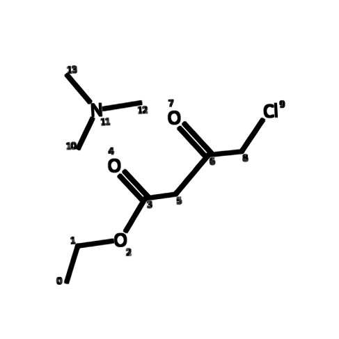 CCOC(=O)CC(=O)CCl.CN(C)C